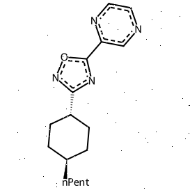 CCCCC[C@H]1CC[C@H](c2noc(-c3cnccn3)n2)CC1